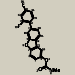 CNC(=O)Oc1ccc2oc3cc(-c4ccc(F)cc4F)ccc3c2c1